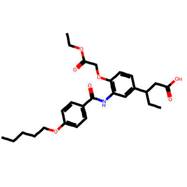 CCCCCOc1ccc(C(=O)Nc2cc(C(CC)CC(=O)O)ccc2OCC(=O)OCC)cc1